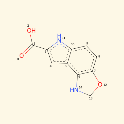 O=C(O)c1cc2c3c(ccc2[nH]1)OCN3